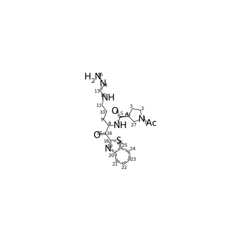 CC(=O)N1CC[C@H](C(=O)NC(CCCNC=NN)C(=O)c2nc3ccccc3s2)C1